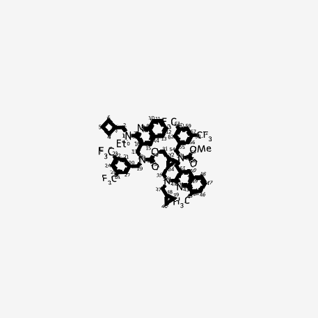 CCN(CC1CCC1)c1nc2ccccc2cc1CN(Cc1cc(C(F)(F)F)cc(C(F)(F)F)c1)C(=O)OCC1CC1CN(CC1CC1)c1nc2c(C)cccc2cc1CN(Cc1cc(C(F)(F)F)cc(C(F)(F)F)c1)C(=O)OC